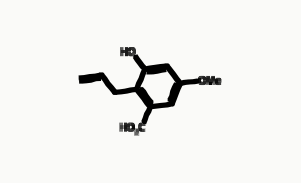 C=CCc1c(O)cc(OC)cc1C(=O)O